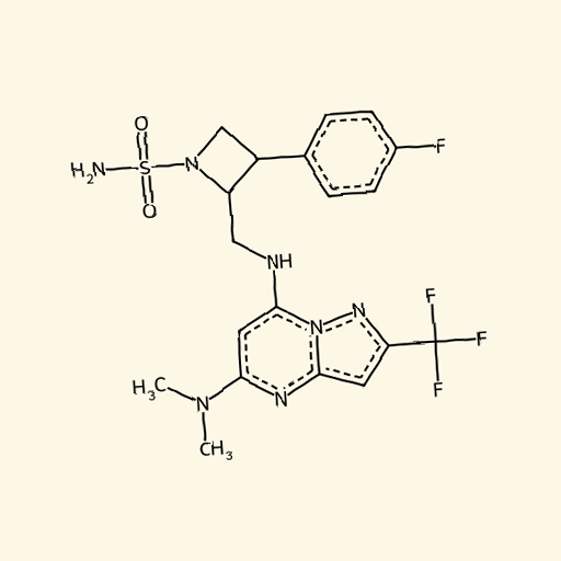 CN(C)c1cc(NCC2C(c3ccc(F)cc3)CN2S(N)(=O)=O)n2nc(C(F)(F)F)cc2n1